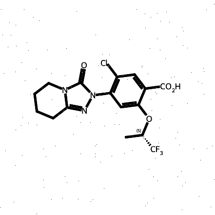 C[C@H](Oc1cc(-n2nc3n(c2=O)CCCC3)c(Cl)cc1C(=O)O)C(F)(F)F